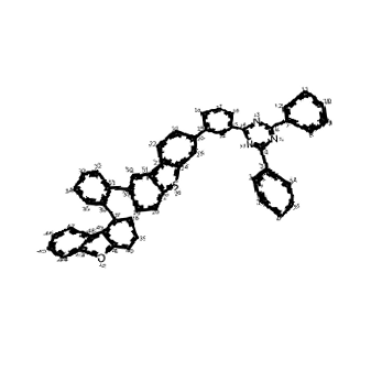 c1ccc(-c2nc(-c3ccccc3)nc(-c3cccc(-c4ccc5c(c4)sc4ccc(-c6ccccc6-c6cccc7oc8ccccc8c67)cc45)c3)n2)cc1